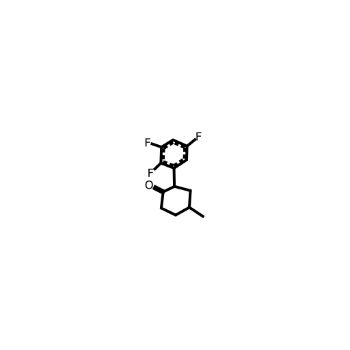 CC1CCC(=O)C(c2cc(F)cc(F)c2F)C1